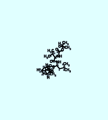 CC(C)CC(NC(=O)C(NC(=O)OC(C)(C)C)C(C)C)B1O[C@@H]2C[C@@H]3C[C@@H](C3(C)C)[C@@]2(C)O1